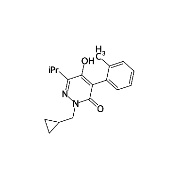 Cc1ccccc1-c1c(O)c(C(C)C)nn(CC2CC2)c1=O